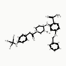 NC(=O)c1ccc(OCc2ccccc2)cc1O[C@@H]1CCN(C(=O)Cc2ccc(OC(F)(F)F)cc2)C[C@H]1F